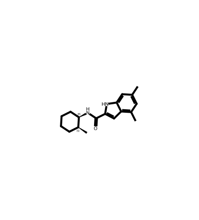 Cc1cc(C)c2cc(C(=O)N[C@@H]3CCCC[C@@H]3C)[nH]c2c1